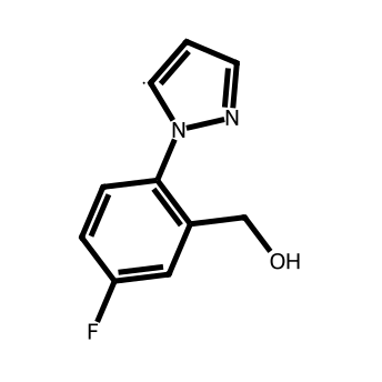 OCc1cc(F)ccc1-n1[c]ccn1